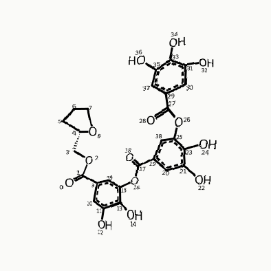 O=C(OC[C@@H]1CCCO1)c1cc(O)c(O)c(OC(=O)c2cc(O)c(O)c(OC(=O)c3cc(O)c(O)c(O)c3)c2)c1